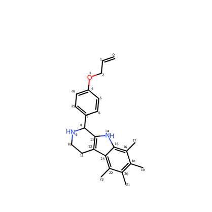 C=CCOc1ccc(C2NCCc3c2[nH]c2c(C)c(C)c(C)c(C)c32)cc1